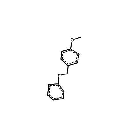 COc1ccc(C[I+]c2ccccc2)cc1